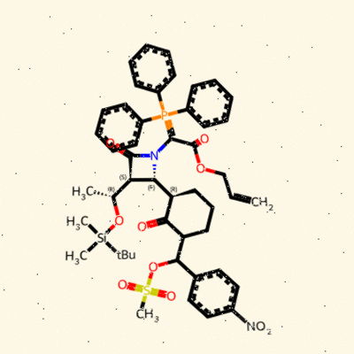 C=CCOC(=O)C(N1C(=O)[C@H]([C@@H](C)O[Si](C)(C)C(C)(C)C)[C@H]1[C@H]1CCCC(C(OS(C)(=O)=O)c2ccc([N+](=O)[O-])cc2)C1=O)=P(c1ccccc1)(c1ccccc1)c1ccccc1